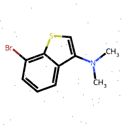 CN(C)c1csc2c(Br)cccc12